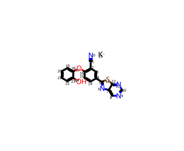 N#Cc1cc(-c2nc3cncnc3s2)ccc1Oc1ccccc1O.[K]